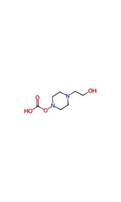 O=C(O)ON1CCN(CCO)CC1